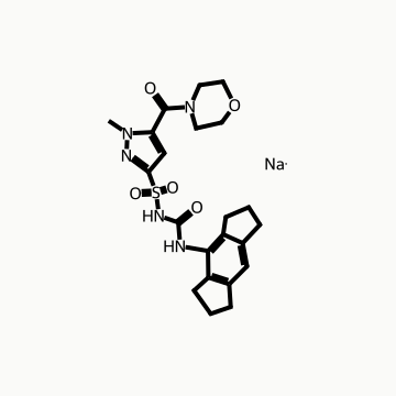 Cn1nc(S(=O)(=O)NC(=O)Nc2c3c(cc4c2CCC4)CCC3)cc1C(=O)N1CCOCC1.[Na]